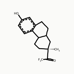 C[C@]1(C(=O)C(F)(F)F)CCC2c3ccc(O)cc3CCC2C1